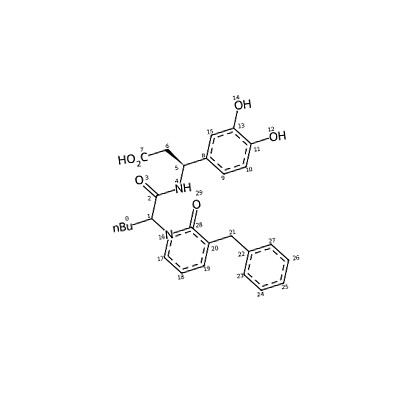 CCCCC(C(=O)N[C@@H](CC(=O)O)c1ccc(O)c(O)c1)n1cccc(Cc2ccccc2)c1=O